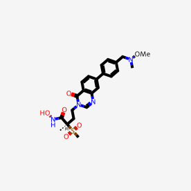 CON(C)Cc1ccc(-c2ccc3c(=O)n(CC[C@](C)(C(=O)NO)S(C)(=O)=O)cnc3c2)cc1